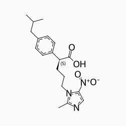 Cc1ncc([N+](=O)[O-])n1CCC[C@H](C(=O)O)c1ccc(CC(C)C)cc1